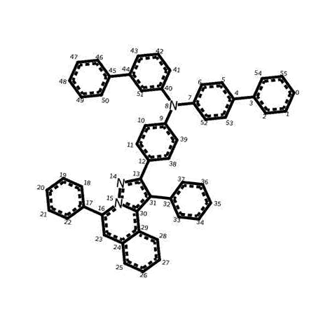 c1ccc(-c2ccc(N(c3ccc(-c4nn5c(-c6ccccc6)cc6ccccc6c5c4-c4ccccc4)cc3)c3cccc(-c4ccccc4)c3)cc2)cc1